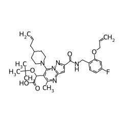 C=CCOc1cc(F)ccc1CNC(=O)c1cc2nc(C)c(C(OC(C)(C)C)C(=O)O)c(N3CCC(CC=C)CC3)n2n1